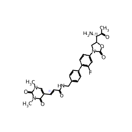 CC(=O)[C@@H](N)C1CN(c2ccc(-c3ccc(CNC(=O)/C=C/c4cn(C)c(=O)n(C)c4=O)cc3)c(F)c2)C(=O)O1